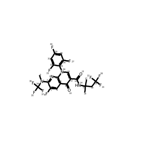 CN(c1nc2c(cc1F)c(=O)c(C(=O)NC(C)(C)CC(F)(F)F)cn2-c1c(F)cc(F)cc1F)C(F)(F)F